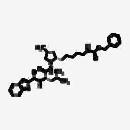 CC(C)C[C@H](NC(=O)c1cc2ccccc2s1)C(=O)NN1CC(C)C[C@@H]1CCCCCNC(=O)OCc1ccccc1